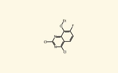 CCOc1c(F)ccc2c(Cl)nc(Cl)nc12